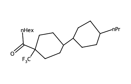 CCCCCCC(=O)C1(C(F)(F)F)CCC(C2CCC(CCC)CC2)CC1